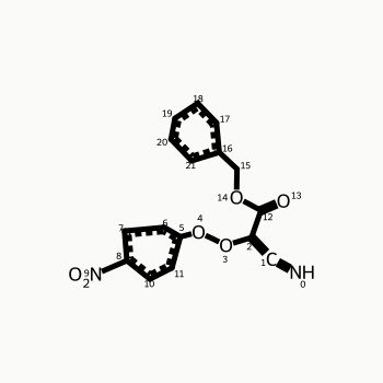 N=C=C(OOc1ccc([N+](=O)[O-])cc1)C(=O)OCc1ccccc1